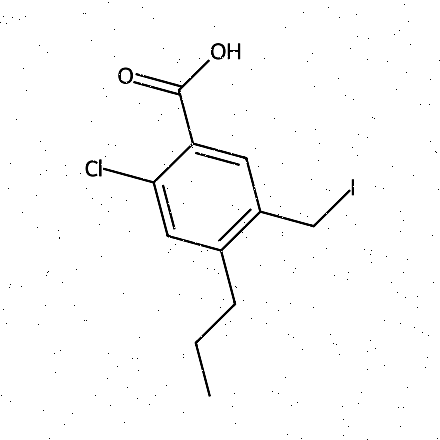 CCCc1cc(Cl)c(C(=O)O)cc1CI